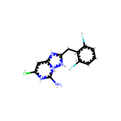 Nc1nc(Cl)cc2nc(Cc3c(F)cccc3F)nn12